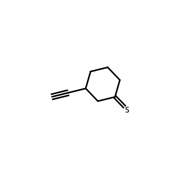 C#CC1CCCC(=S)C1